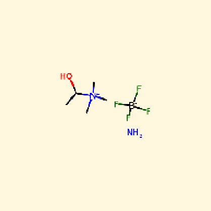 CC(O)[N+](C)(C)C.F[B-](F)(F)F.N